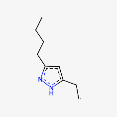 [CH2]Cc1cc(CCCC)n[nH]1